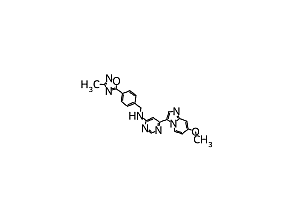 COc1ccn2c(-c3cc(NCc4ccc(-c5nc(C)no5)cc4)ncn3)cnc2c1